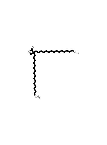 CCCCCCCCCCCCCCCCCC1(CCCCCCCCCCCCCCCC)COC1=O